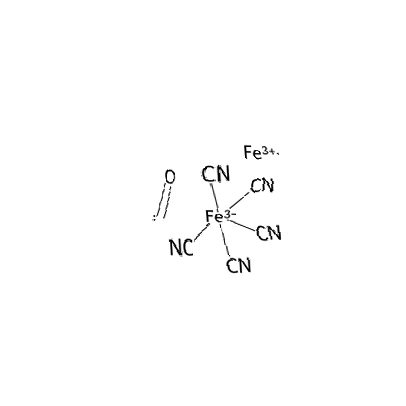 N#[C][Fe-3]([C]#N)([C]#N)([C]#N)[C]#N.[C]=O.[Fe+3]